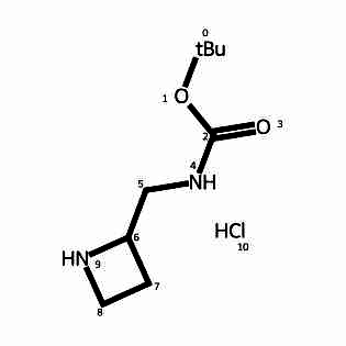 CC(C)(C)OC(=O)NCC1CCN1.Cl